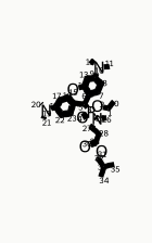 CCOP(=O)(C1c2ccc(N(C)C)cc2Oc2cc(N(C)C)ccc21)N(C)CCC(=O)OCC(C)C